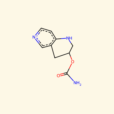 NC(=O)OC1CNc2ccncc2C1